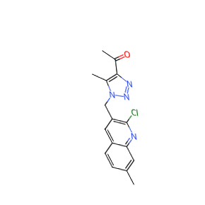 CC(=O)c1nnn(Cc2cc3ccc(C)cc3nc2Cl)c1C